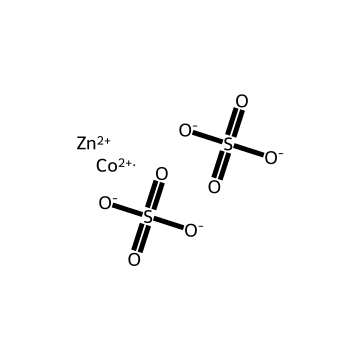 O=S(=O)([O-])[O-].O=S(=O)([O-])[O-].[Co+2].[Zn+2]